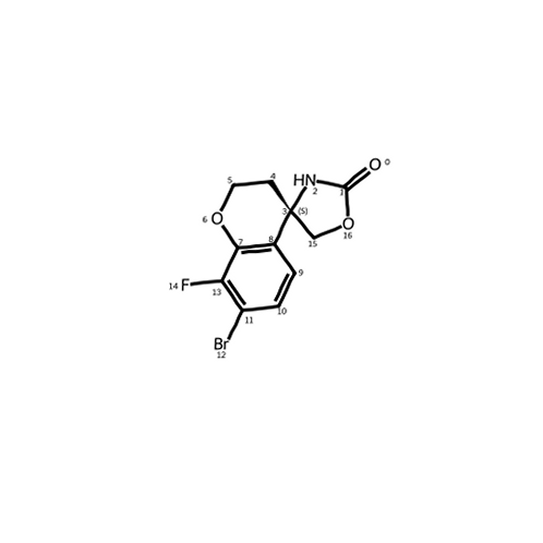 O=C1N[C@]2(CCOc3c2ccc(Br)c3F)CO1